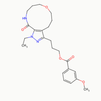 CCn1nc(CCCOC(=O)c2cccc(OC)c2)c2c1C(=O)NCCCOCCC2